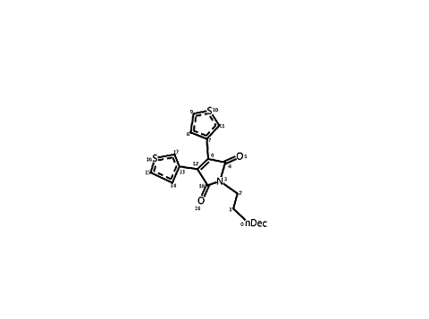 CCCCCCCCCCCCN1C(=O)C(c2ccsc2)=C(c2ccsc2)C1=O